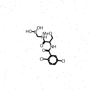 COCC(NC(=O)c1cc(Cl)ccc1Cl)C(=O)NCB(O)O